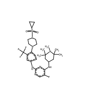 CN1C(C)(C)CC(Nc2nc(Nc3ccc(N4CCN(S(=O)(=O)C5CC5)CC4)c(C(F)(F)F)c3)ncc2F)CC1(C)C